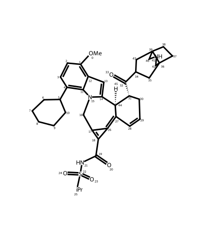 COc1ccc(C2CCCCC2)c2c1cc1n2CC2=C(C(=O)NS(=O)(=O)C(C)C)C2=C2C=CC[C@@H](C(=O)C3CC45CCC4(CNC5)C3)[C@@H]21